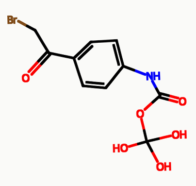 O=C(Nc1ccc(C(=O)CBr)cc1)OC(O)(O)O